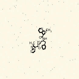 Cc1nc2sccn2c1C(=O)NCCC(Cc1ccccc1)NC(=O)c1cn(C)c2ncccc12